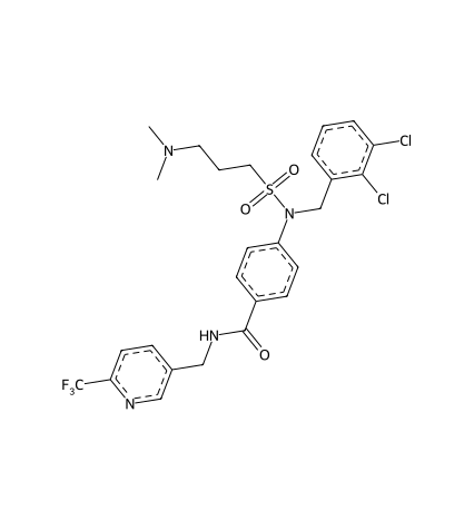 CN(C)CCCS(=O)(=O)N(Cc1cccc(Cl)c1Cl)c1ccc(C(=O)NCc2ccc(C(F)(F)F)nc2)cc1